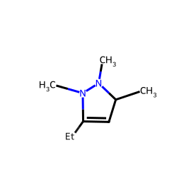 CCC1=CC(C)N(C)N1C